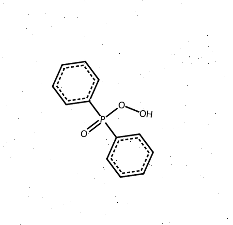 O=P(OO)(c1ccccc1)c1ccccc1